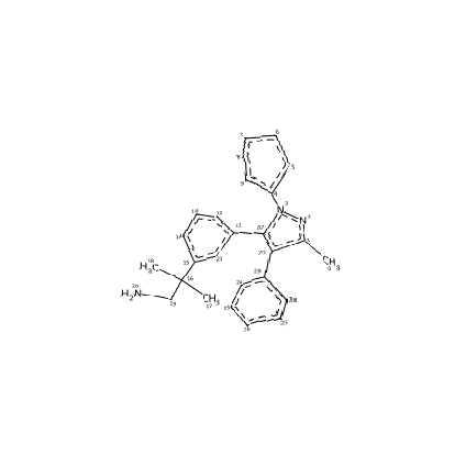 Cc1nn(-c2ccccc2)c(-c2cccc(C(C)(C)CN)c2)c1-c1ccccc1